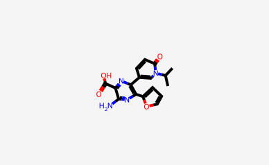 CC(C)n1cc(-c2nc(C(=O)O)c(N)nc2-c2ccco2)ccc1=O